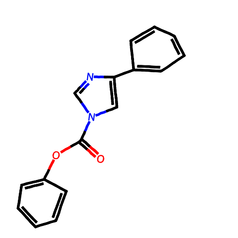 O=C(Oc1ccccc1)n1cnc(-c2ccccc2)c1